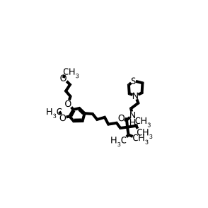 COCCCOc1cc(CCCCCCC(C(=O)NCCN2CCSCC2)(C(C)C)C(C)C)ccc1OC